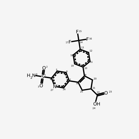 NS(=O)(=O)c1ccc(C2=C(c3ccc(C(F)(F)F)cc3)CC(C(=O)O)C2)cn1